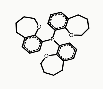 c1cc2c(c(P(c3cccc4c3OCCCC4)c3cccc4c3OCCCC4)c1)OCCCC2